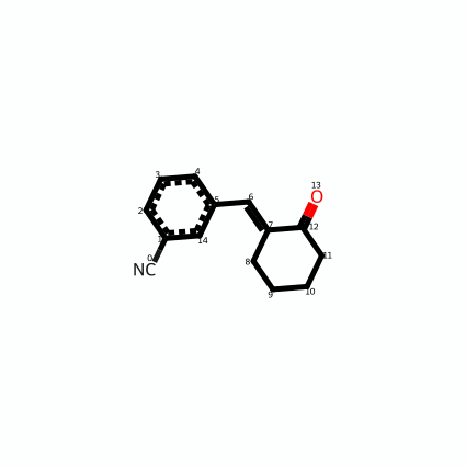 N#Cc1cccc(C=C2CCCCC2=O)c1